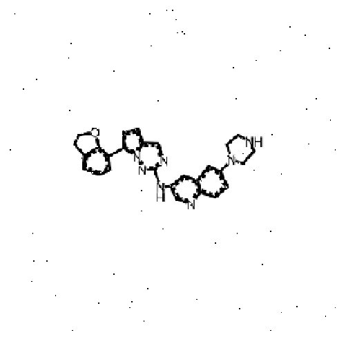 c1cc2c(c(-c3ccc4cnc(Nc5cnc6ccc(N7CCNCC7)cc6c5)nn34)c1)OCC2